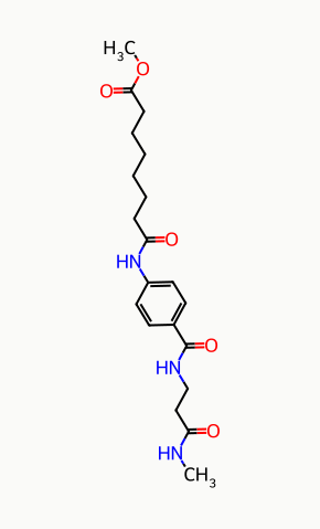 CNC(=O)CCNC(=O)c1ccc(NC(=O)CCCCCCC(=O)OC)cc1